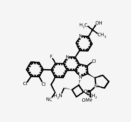 COC(=O)N1CCC[C@@H]1c1c(Cl)c2c(-c3ccc(C(C)(C)O)nc3)nc3c(F)c(-c4cccc(Cl)c4Cl)c(CCC#N)cc3c2n1[C@H]1[C@@H](CN)C[C@@H]1C